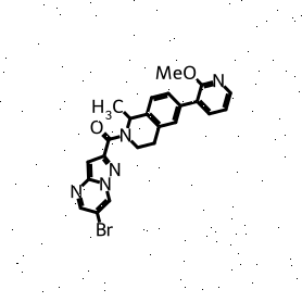 COc1ncccc1-c1ccc2c(c1)CCN(C(=O)c1cc3ncc(Br)cn3n1)C2C